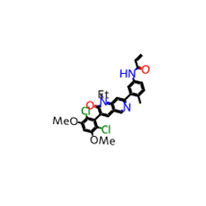 C=CC(=O)Nc1ccc(C)c(-c2cc3c(cn2)cc(-c2c(Cl)c(OC)cc(OC)c2Cl)c(=O)n3CC)c1